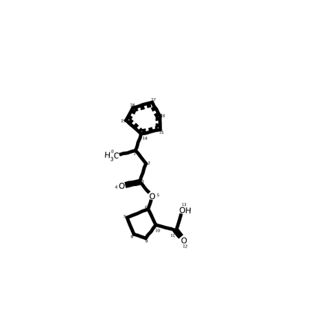 CC(CC(=O)OC1CCCC1C(=O)O)c1ccccc1